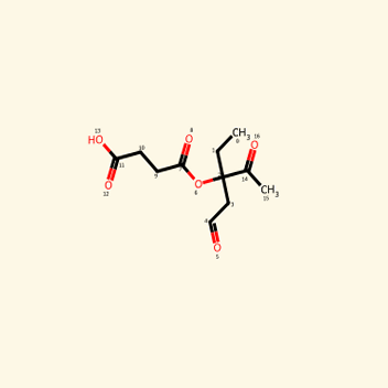 CCC(CC=O)(OC(=O)CCC(=O)O)C(C)=O